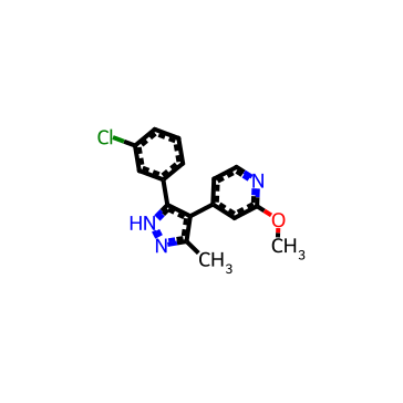 COc1cc(-c2c(C)n[nH]c2-c2cccc(Cl)c2)ccn1